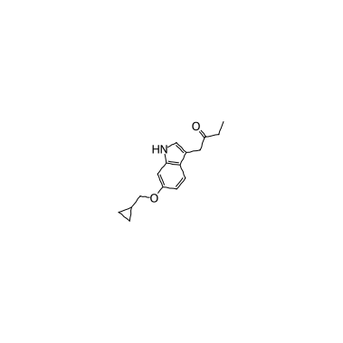 CCC(=O)Cc1c[nH]c2cc(OCC3CC3)ccc12